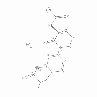 CC1Cc2ccc(N3CCO[C@H](CC(N)=O)C3=O)cc2NC1=O.Cl